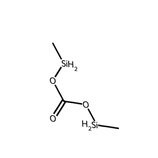 C[SiH2]OC(=O)O[SiH2]C